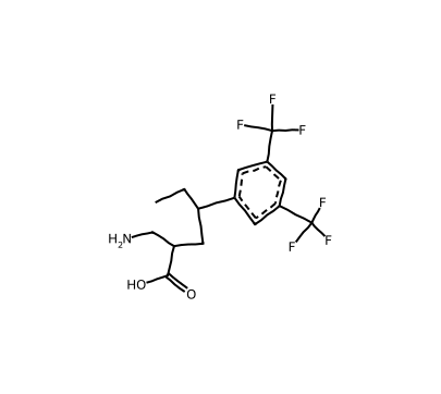 CCC(CC(CN)C(=O)O)c1cc(C(F)(F)F)cc(C(F)(F)F)c1